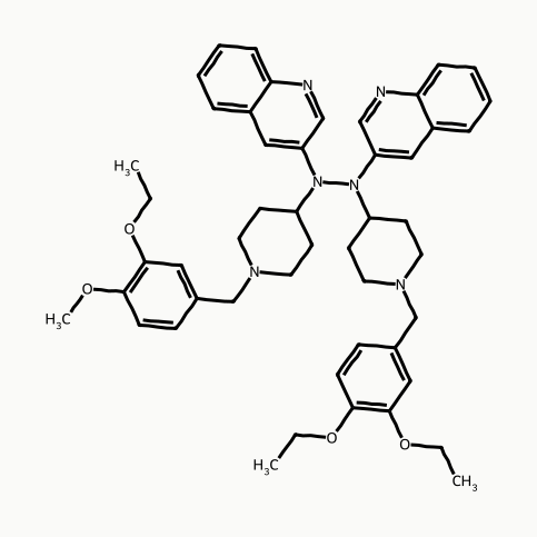 CCOc1cc(CN2CCC(N(c3cnc4ccccc4c3)N(c3cnc4ccccc4c3)C3CCN(Cc4ccc(OCC)c(OCC)c4)CC3)CC2)ccc1OC